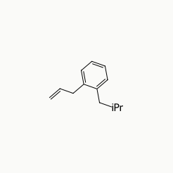 C=CCc1ccccc1CC(C)C